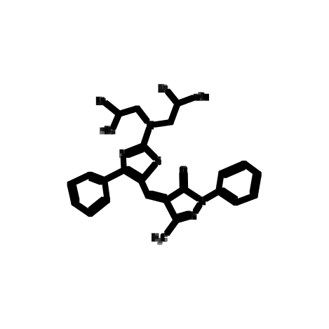 CCCCC(CC)CN(CC(CC)CCCC)c1nc(-c2ccccc2)c(/C=C2\C(=O)N(c3ccccc3)N=C2C)s1